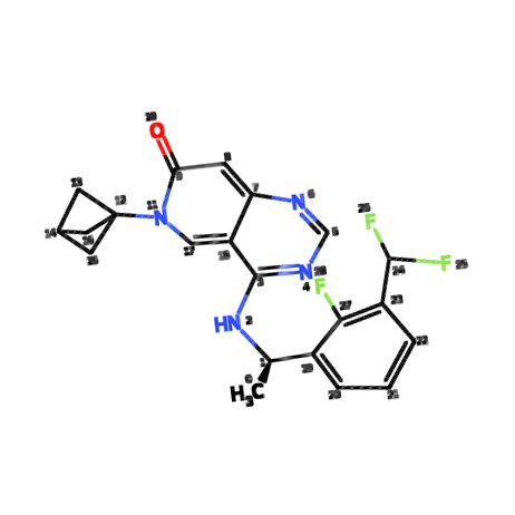 C[C@@H](Nc1ncnc2cc(=O)n(C34CC(C3)C4)cc12)c1cccc(C(F)F)c1F